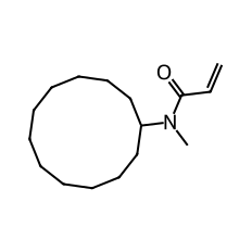 C=CC(=O)N(C)C1CCCCCCCCCCC1